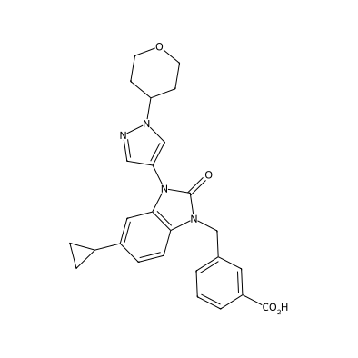 O=C(O)c1cccc(Cn2c(=O)n(-c3cnn(C4CCOCC4)c3)c3cc(C4CC4)ccc32)c1